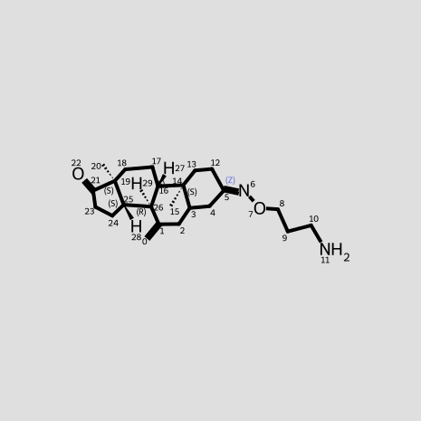 C=C1CC2C/C(=N\OCCCN)CC[C@]2(C)[C@H]2CC[C@]3(C)C(=O)CC[C@H]3[C@H]12